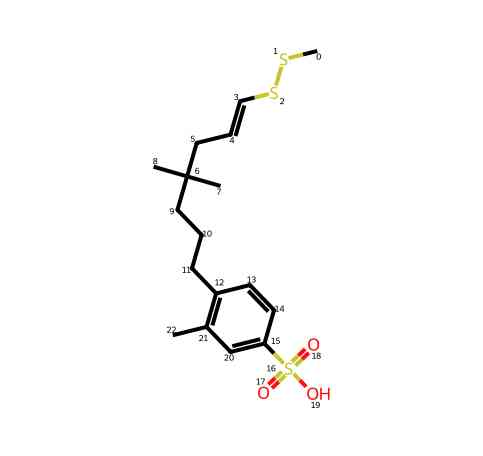 CSSC=CCC(C)(C)CCCc1ccc(S(=O)(=O)O)cc1C